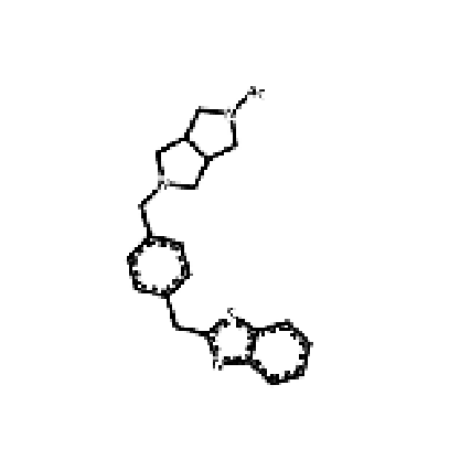 CC(=O)N1CC2CN(Cc3ccc(Cc4nc5ccccc5s4)cc3)CC2C1